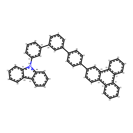 c1cc(-c2ccc(-c3ccc4c5ccccc5c5ccccc5c4c3)cc2)cc(-c2cccc(-n3c4ccccc4c4ccccc43)c2)c1